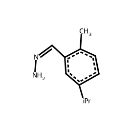 Cc1ccc(C(C)C)cc1/C=N\N